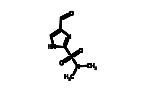 CN(C)S(=O)(=O)c1nc(C=O)c[nH]1